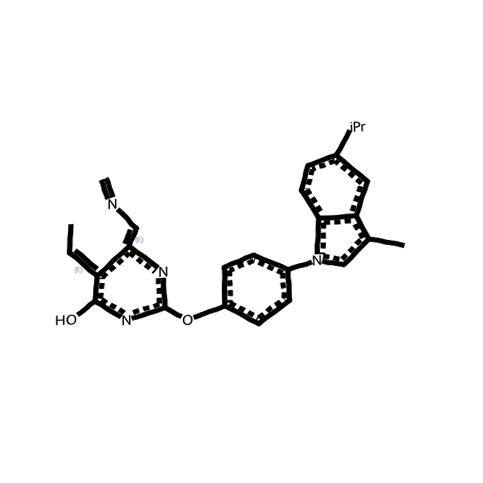 C=N/C=c1/nc(Oc2ccc(-n3cc(C)c4cc(C(C)C)ccc43)cc2)nc(O)/c1=C/C